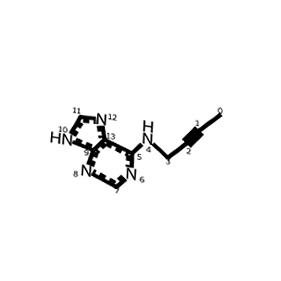 CC#CCNc1ncnc2[nH]cnc12